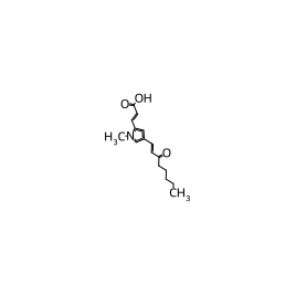 CCCCCC(=O)C=Cc1cc(C=CC(=O)O)n(C)c1